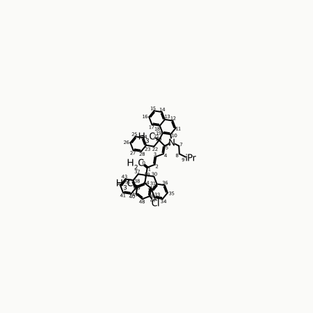 C=C(/C=C/C=C1/N(CCC(C)C)c2ccc3ccccc3c2C1(C)Cc1ccccc1)C(Cc1ccccc1)(Cc1ccccc1)c1cc(Cl)ccc1C